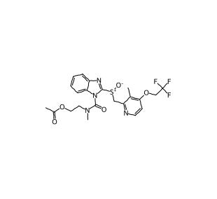 CC(=O)OCCN(C)C(=O)n1c([S+]([O-])Cc2nccc(OCC(F)(F)F)c2C)nc2ccccc21